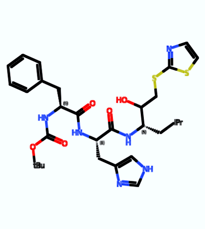 CC(C)C[C@H](NC(=O)[C@H](Cc1c[nH]cn1)NC(=O)[C@H](Cc1ccccc1)NC(=O)OC(C)(C)C)C(O)CSc1nccs1